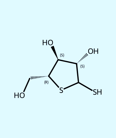 OC[C@H]1SC(S)[C@@H](O)[C@@H]1O